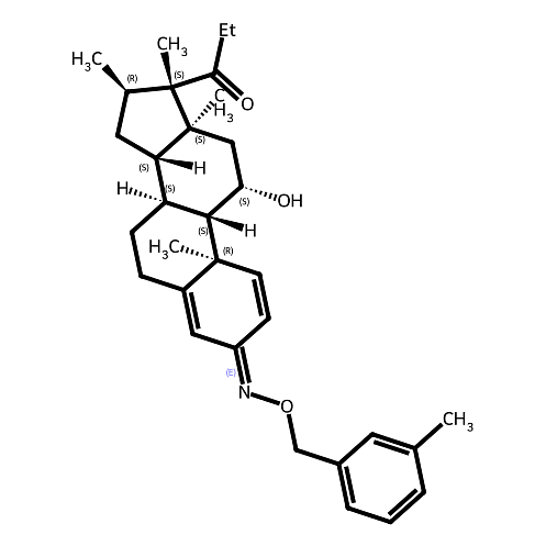 CCC(=O)[C@@]1(C)[C@H](C)C[C@H]2[C@@H]3CCC4=C/C(=N/OCc5cccc(C)c5)C=C[C@]4(C)[C@H]3[C@@H](O)C[C@@]21C